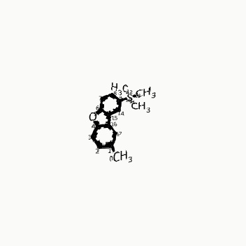 Cc1ccc2oc3ccc(S(C)(C)C)cc3c2c1